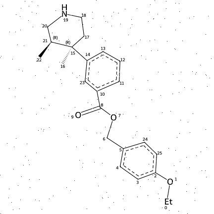 CCOc1ccc(COC(=O)c2cccc([C@]3(C)CCNC[C@@H]3C)c2)cc1